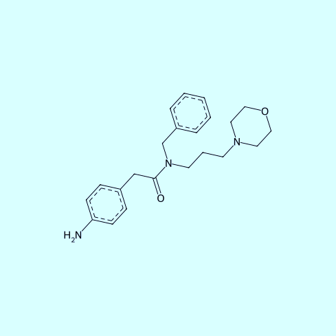 Nc1ccc(CC(=O)N(CCCN2CCOCC2)Cc2ccccc2)cc1